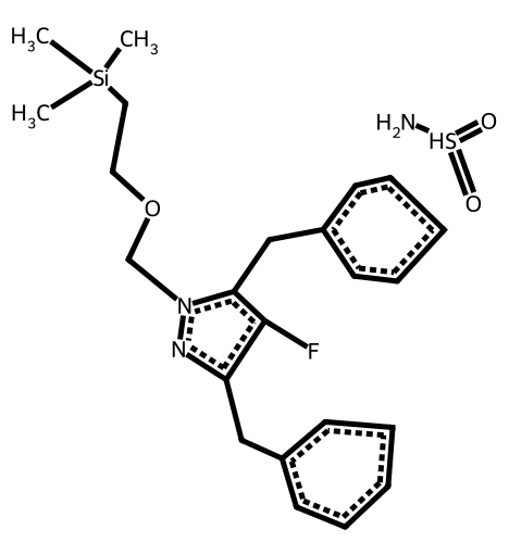 C[Si](C)(C)CCOCn1nc(Cc2ccccc2)c(F)c1Cc1ccccc1.N[SH](=O)=O